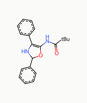 CC(C)(C)C(=O)NC1=C(c2ccccc2)NC(c2ccccc2)O1